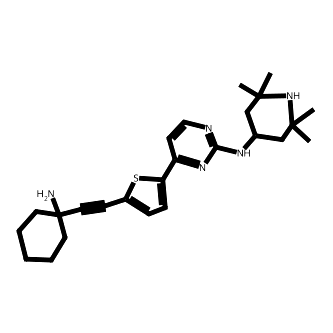 CC1(C)CC(Nc2nccc(-c3ccc(C#CC4(N)CCCCC4)s3)n2)CC(C)(C)N1